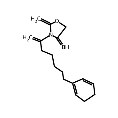 B=C1COC(=C)N1C(=C)CCCCCC1=CCCC=C1